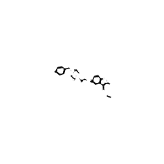 CCOC(=O)c1c(C)[nH]c2ccc(OCC(=O)N3C[C@@H](C)N(Cc4ccc(F)cc4)C[C@@H]3C)cc12